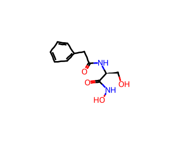 O=C(Cc1ccccc1)N[C@@H](CO)C(=O)NO